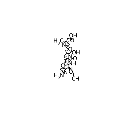 C#CCON=C(C(=O)NC1C(=O)N2C(C(=O)O)=C(CSc3nc(C)c(CC(=O)O)s3)CS[C@@H]12)c1nc(N)sc1Cl